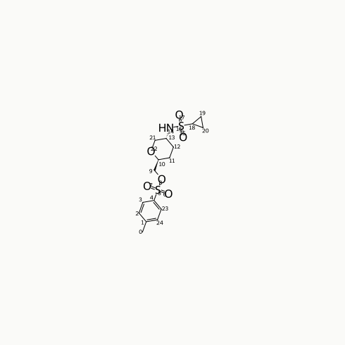 Cc1ccc(S(=O)(=O)OC[C@@H]2CC[C@@H](NS(=O)(=O)C3CC3)CO2)cc1